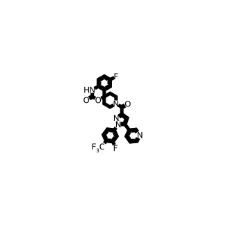 O=C1Nc2ccc(F)cc2C2(CCN(C(=O)c3cc(-c4cccnc4)n(-c4ccc(C(F)(F)F)c(F)c4)n3)CC2)O1